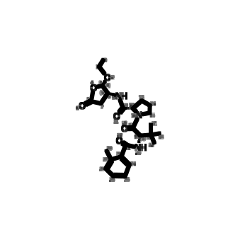 CCO[C@@H]1OC(=O)C[C@@H]1NC(=O)[C@@H]1CCCN1C(=O)[C@@H](NC(=O)c1ccccc1C)C(C)(C)C